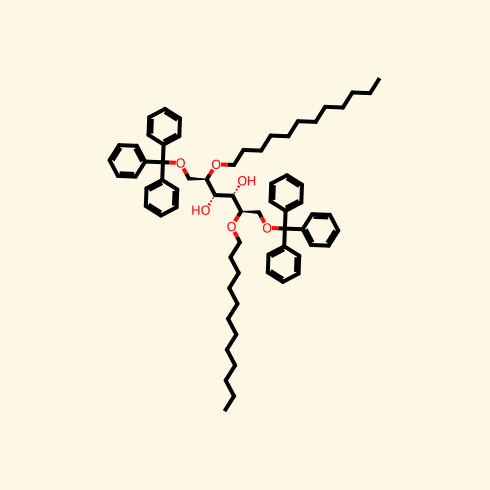 CCCCCCCCCCCCO[C@H](COC(c1ccccc1)(c1ccccc1)c1ccccc1)[C@@H](O)[C@H](O)[C@@H](COC(c1ccccc1)(c1ccccc1)c1ccccc1)OCCCCCCCCCCCC